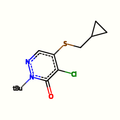 CC(C)(C)n1ncc(SCC2CC2)c(Cl)c1=O